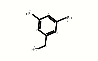 CCCCc1cc(CO)cc(CCC)c1